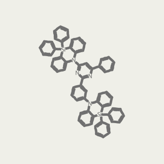 c1ccc(-c2cc(N3c4ccccc4[Si](c4ccccc4)(c4ccccc4)c4ccccc43)nc(-c3cccc(N4c5ccccc5[Si](c5ccccc5)(c5ccccc5)c5ccccc54)c3)n2)cc1